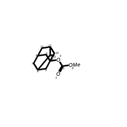 COC(=O)OC12CC3CC(C1)C(C)C(C3)C2